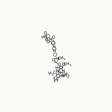 COc1cc2nc(C)nc(NC(C)c3cc(N)cc(C(F)(F)F)c3)c2cc1OCC1(CN(C)C(=O)[C@H]2CC[C@@H](N3CCN(c4ccc5c(c4)C(=O)N(C4CCC(=O)NC4=O)C5=O)CC3)CC2)CC1